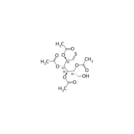 CC(=O)O[C@@H]([C@H](OC(C)=O)[C@@H](CO)OC(C)=O)[C@H](C=S)OC(C)=O